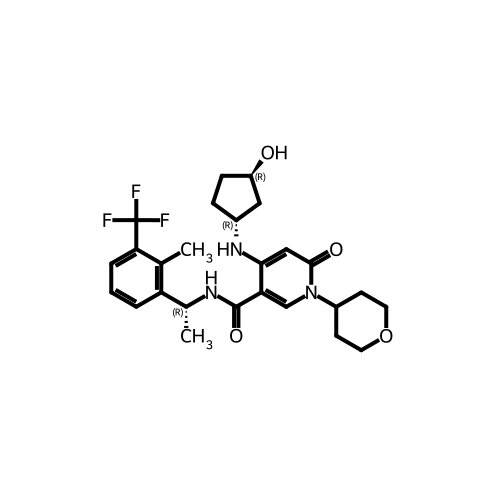 Cc1c([C@@H](C)NC(=O)c2cn(C3CCOCC3)c(=O)cc2N[C@@H]2CC[C@@H](O)C2)cccc1C(F)(F)F